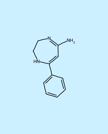 NC1=NCCNC(c2ccccc2)=C1